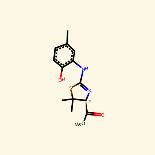 COC(=O)[C@@H]1N=C(Nc2cc(C)ccc2O)SC1(C)C